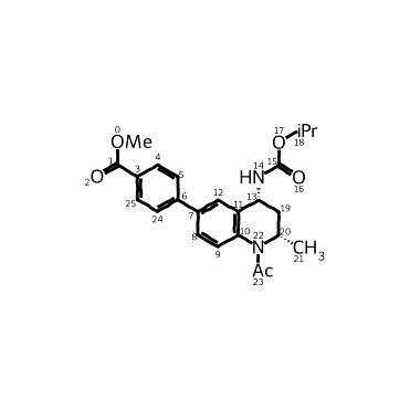 COC(=O)c1ccc(-c2ccc3c(c2)[C@H](NC(=O)OC(C)C)C[C@H](C)N3C(C)=O)cc1